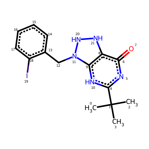 CC(C)(C)c1nc(=O)c2c([nH]1)N(Cc1ccccc1I)NN2